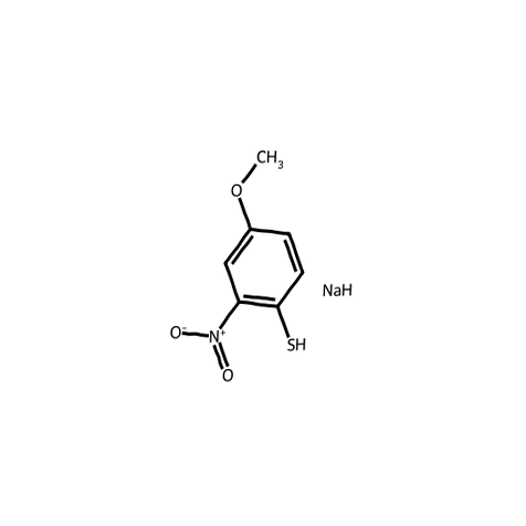 COc1ccc(S)c([N+](=O)[O-])c1.[NaH]